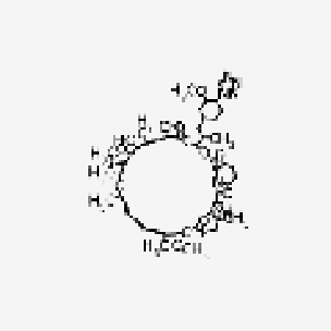 COC1C(=O)[C@@H](C)C[C@H](C)/C=C/C=C/C=C(\C)[C@@H](OC)C[C@@H]2CCC(C)C(O)(O2)C(=O)C(=O)N2CCCC[C@H]2C(=O)O[C@H]([C@H](C)CC2CC[C@H](n3cnnn3)C(OC)C2)CC(=O)[C@H](C)/C=C(\C)[C@H]1O